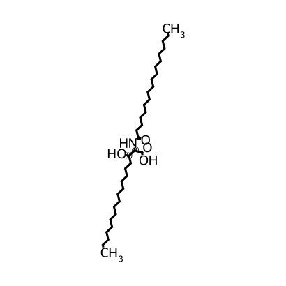 CCCCCCCCCCCCCCCCCC(=O)N[C@@H](C(=O)O)[C@H](O)CCCCCCCCCCCCCCC